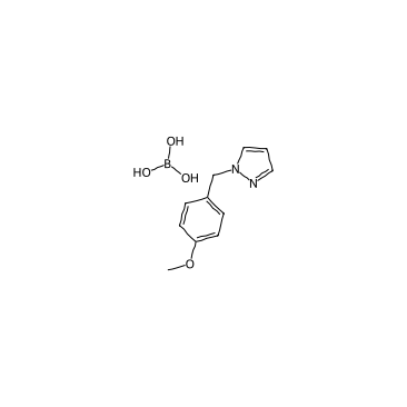 COc1ccc(Cn2cccn2)cc1.OB(O)O